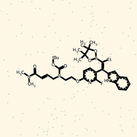 CC/C(B1OC(C)(C)C(C)(C)O1)=C(\c1cc2ccccc2[nH]1)c1ccc(OCCN(C/C=C/C(=O)N(C)C)C(=O)OC(C)(C)C)nc1F